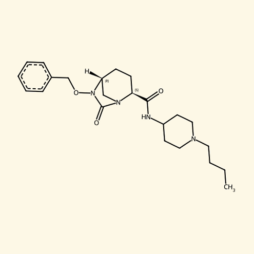 CCCCN1CCC(NC(=O)[C@@H]2CC[C@@H]3CN2C(=O)N3OCc2ccccc2)CC1